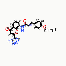 CCCCCCCOc1ccc(/C=C/C(=O)Nc2cccc3c(=O)cc(-c4nnn[nH]4)oc23)cc1